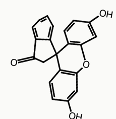 O=C1CC2(c3ccc(O)cc3Oc3cc(O)ccc32)c2ccccc21